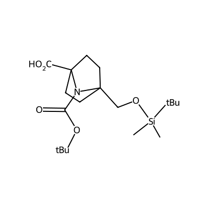 CC(C)(C)OC(=O)N1C2(CO[Si](C)(C)C(C)(C)C)CCC1(C(=O)O)CC2